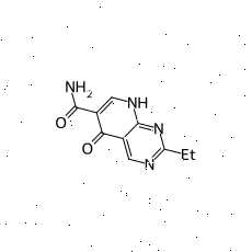 CCc1ncc2c(=O)c(C(N)=O)c[nH]c2n1